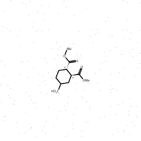 COC(=O)[C@H]1CC(C(=O)O)CC[C@@H]1C(=O)OC(C)(C)C